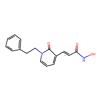 O=C(/C=C/c1cccn(CCc2ccccc2)c1=O)NO